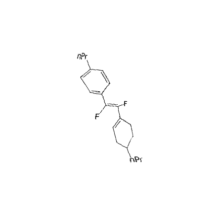 CCCc1ccc(/C(F)=C(\F)C2=CCC(CCC)CC2)cc1